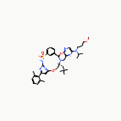 COCCCN(c1cncc(CN2C(=O)c3cccc(c3)S(=O)(=O)Nc3nc(cc(-c4c(C)cccc4C)n3)OC[C@H]2CC(C)(C)C)n1)C(C)C